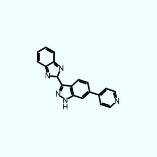 c1ccc2c(c1)=NC(c1n[nH]c3cc(-c4ccncc4)ccc13)N=2